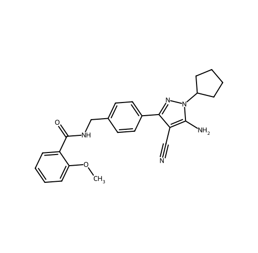 COc1ccccc1C(=O)NCc1ccc(-c2nn(C3CCCC3)c(N)c2C#N)cc1